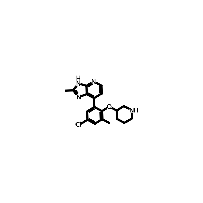 Cc1nc2c(-c3cc(Cl)cc(C)c3OC3CCCNC3)ccnc2[nH]1